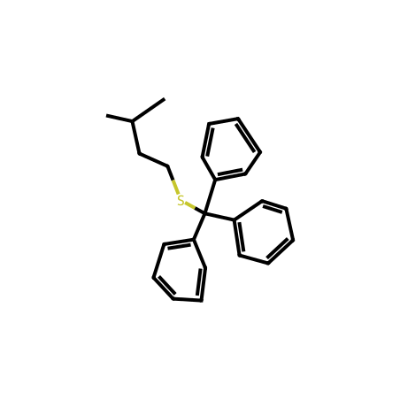 CC(C)CCSC(c1ccccc1)(c1ccccc1)c1ccccc1